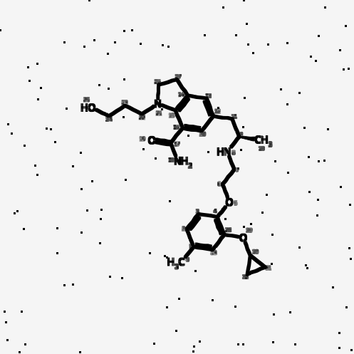 Cc1ccc(OCCN[C@H](C)Cc2cc3c(c(C(N)=O)c2)N(CCCO)CC3)c(OC2CC2)c1